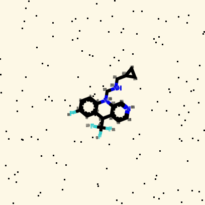 Fc1ccc2c(c1)C(C(F)(F)F)c1ccncc1N2CNCC1CC1